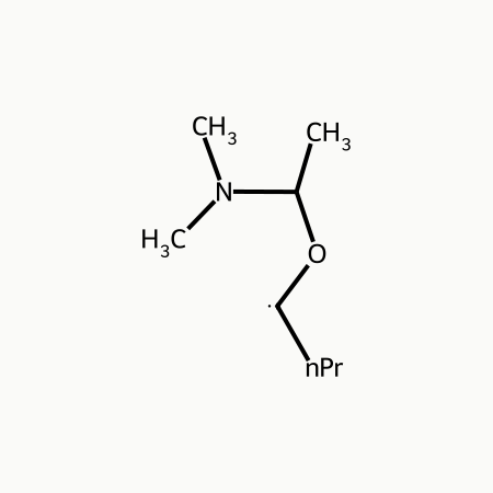 CCC[CH]OC(C)N(C)C